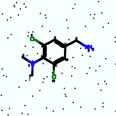 CN(C)c1c(Cl)cc(CN)cc1Cl